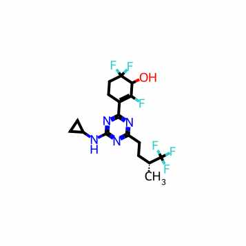 C[C@H](CCc1nc(NC2CC2)nc(C2=C(F)C(O)C(F)(F)CC2)n1)C(F)(F)F